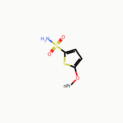 CCCOc1ccc(S(N)(=O)=O)s1